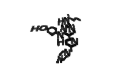 CCC[C@H](C)Nc1ncc(-c2ccc(CN3CCN(C)CC3)cn2)c(NC2CCC(O)CC2)n1